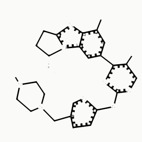 CN1CCN(Cc2ccc(Nc3ncc(F)c(-c4cc(F)c5nc6n(c5c4)[C@H](C(F)(F)F)CC6)n3)nc2)CC1